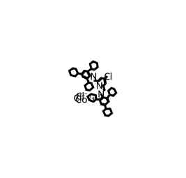 Clc1cc(C=Nc2c(C3CCCCC3)cc(C3CCCCC3)cc2C2CCCCC2)nc(C=Nc2c(C3CCCCC3)cc(C3CCCCC3)cc2C2CCCCC2)c1.[Cl-].[Cl-].[Co+2]